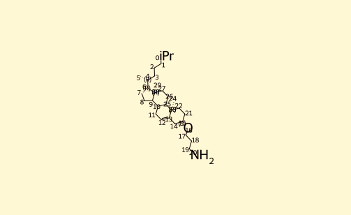 CC(C)CCC[C@@H](C)[C@H]1CCC2C3CC=C4C[C@@H](OCCCN)CC[C@]4(C)C3CC[C@@]21C